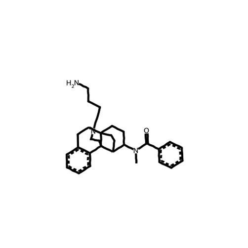 CN(C(=O)c1ccccc1)C1CCC23CCC1C21CCN(CCCN)C3Cc2ccccc21